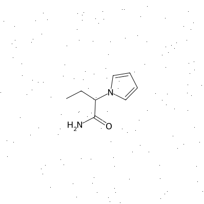 CCC(C(N)=O)n1cccc1